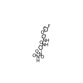 O=C(Nc1ccc(Oc2ccc(F)cc2)cc1)Nc1cccc(CN2C(=O)NC(=O)C2=O)c1